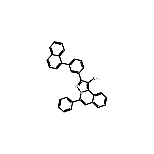 Cc1c(-c2cccc(-c3cccc4ccccc34)c2)nn2c(-c3ccccc3)cc3ccccc3c12